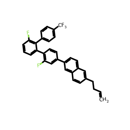 C=CCCc1ccc2cc(-c3ccc(-c4cccc(F)c4-c4ccc(C(F)(F)F)cc4)c(F)c3)ccc2c1